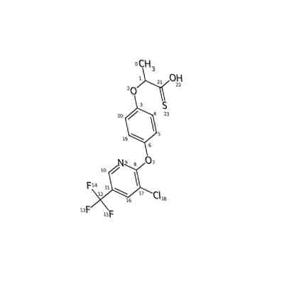 CC(Oc1ccc(Oc2ncc(C(F)(F)F)cc2Cl)cc1)C(O)=S